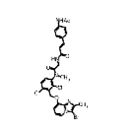 CC(=O)Nc1ccc(C=CC(=O)NCC(=O)N(C)c2ccc(Cl)c(COc3cccn4c(Br)c(C)nc34)c2Cl)cc1